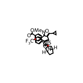 COC(=O)c1ccc(-c2csc(N3[C@@H]4CC[C@H]3C[C@@H](OCc3c(-c5ccccc5OC(F)(F)F)noc3C3CC3)C4)n2)cc1C(F)(F)F